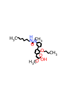 CCCCCCCNC(=O)N(C)c1cccc(-c2ccc(/C=C(/OC)C(=O)O)cc2OCCCC)c1